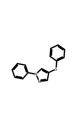 c1ccc(Sc2cnn(-c3ccccc3)c2)cc1